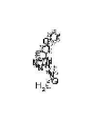 C=CC(=O)N1CCC(n2nc(-c3ccc(Oc4ccccc4)cc3F)c3cncnc32)C1